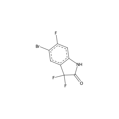 O=C1Nc2cc(F)c(Br)cc2C1(F)F